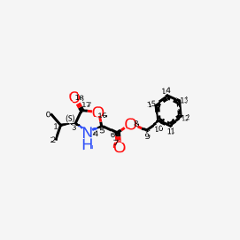 CC(C)[C@@H]1NC(C(=O)OCc2ccccc2)OC1=O